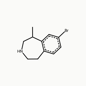 CC1CNCCc2ccc(Br)cc21